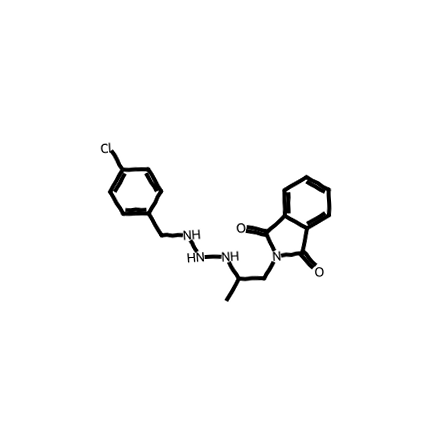 CC(CN1C(=O)c2ccccc2C1=O)NNNCc1ccc(Cl)cc1